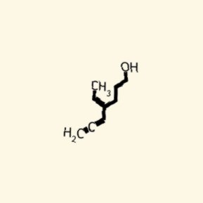 C=C=CC(=CC)CCCO